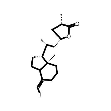 C[C@H](C[C@@H]1C[C@H](C)C(=O)O1)[C@H]1CCC2/C(=C/I)CCC[C@@]21C